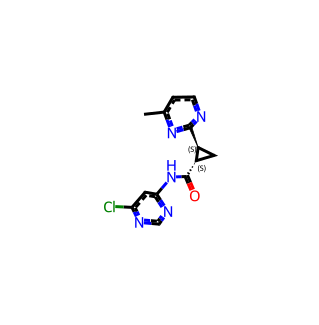 Cc1ccnc([C@H]2C[C@@H]2C(=O)Nc2cc(Cl)ncn2)n1